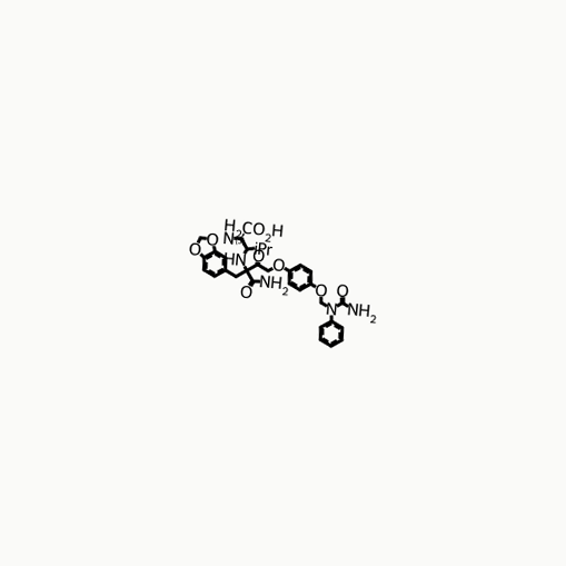 CC(C)C(NC(Cc1ccc2c(c1)OCO2)(C(N)=O)C(=O)COc1ccc(OCN(C(N)=O)c2ccccc2)cc1)[C@H](N)C(=O)O